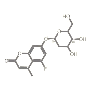 Cc1cc(=O)oc2cc(O[C@@H]3CC(O)[C@H](O)C(CO)O3)cc(F)c12